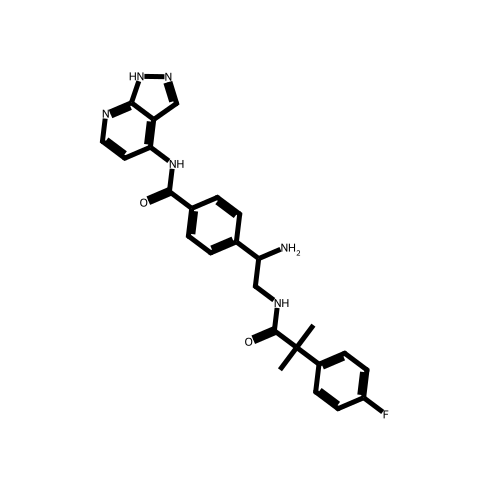 CC(C)(C(=O)NCC(N)c1ccc(C(=O)Nc2ccnc3[nH]ncc23)cc1)c1ccc(F)cc1